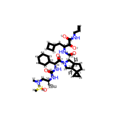 C=CCNC(=O)C(=O)C(CC1CCC1)NC(=O)[C@@H]1[C@H]2CCC3(CC3)[C@H]2CN1C(=O)[C@@H](NC(=O)N[C@H](CN(C)[S+](C)[O-])C(C)(C)C)C1CCCCC1